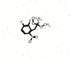 COC(C)(Cc1c([N+](=O)[O-])ccc(F)c1F)OC